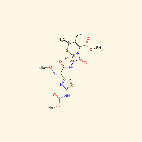 BOC(=O)C1=C(CI)[C@H](C)S[C@@H]2[C@H](NC(=O)/C(=N\OC(C)(C)C)c3csc(NC(=O)OC(C)(C)C)n3)C(=O)N12